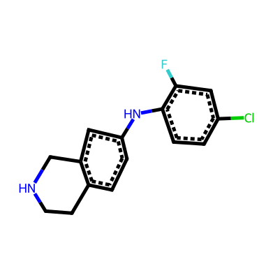 Fc1cc(Cl)ccc1Nc1ccc2c(c1)CNCC2